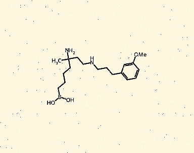 COc1cccc(CCCNCCC(C)(N)CCCCB(O)O)c1